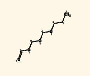 CCCOCOCO[C]=O